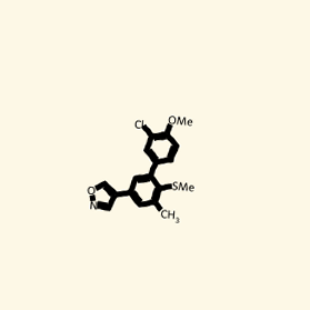 COc1ccc(-c2cc(-c3cnoc3)cc(C)c2SC)cc1Cl